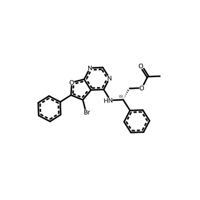 CC(=O)OC[C@@H](Nc1ncnc2oc(-c3ccccc3)c(Br)c12)c1ccccc1